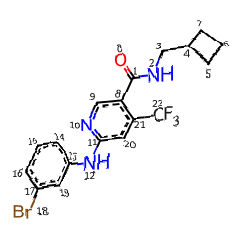 O=C(NCC1CCC1)c1cnc(Nc2cccc(Br)c2)cc1C(F)(F)F